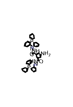 Nc1cc(C(=O)N/N=C/c2ccccc2P(c2ccccc2)c2ccccc2)cc(C(=O)N/N=C/c2ccccc2P(c2ccccc2)c2ccccc2)c1